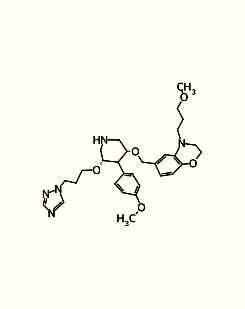 COCCCN1CCOc2ccc(CO[C@H]3CNC[C@@H](OCCCn4cncn4)C3c3ccc(OC)cc3)cc21